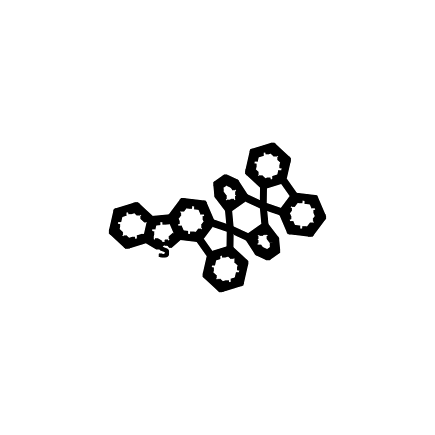 c1ccc2c(c1)-c1ccccc1C21c2ccccc2C2(c3ccccc3-c3c2ccc2c3sc3ccccc32)c2ccccc21